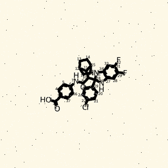 O=C(O)c1ccc(NC(=O)C(C2C3CCC2CC3)C2(c3ccc(Cl)cc3)Nc3cc(F)c(F)cc3N2)cc1